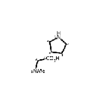 C1CCNC1.CNCC(=O)O